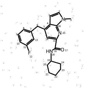 Cn1ccc2c(Cc3cccc(F)c3)cc(C(=O)NC3CCCCC3)nc21